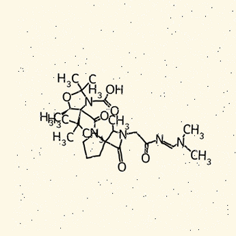 CC1N(CC(=O)N=CN(C)C)C(=O)C12CCCN2C(=O)[C@]1(C(C)(C)C)[C@@H](C)OC(C)(C)N1C(=O)O